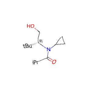 CC(C)C(=O)N(C1CC1)[C@@H](CO)C(C)(C)C